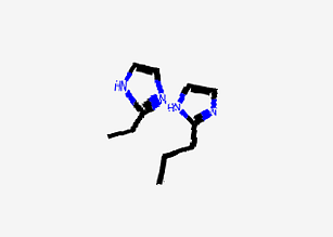 CCCc1ncc[nH]1.CCc1ncc[nH]1